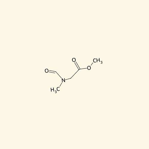 COC(=O)CN(C)C=O